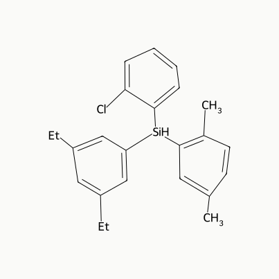 CCc1cc(CC)cc([SiH](c2cc(C)ccc2C)c2ccccc2Cl)c1